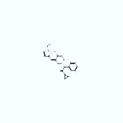 O=C(O)Cn1ccc(C=C2CN(C(C(=O)C3CC3)c3ccccc3F)CCC2S)n1